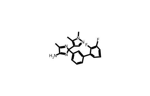 CC1=NC(c2cccc(-c3cccc(F)c3F)c2)(c2cnn(C)c2C)N=C1N